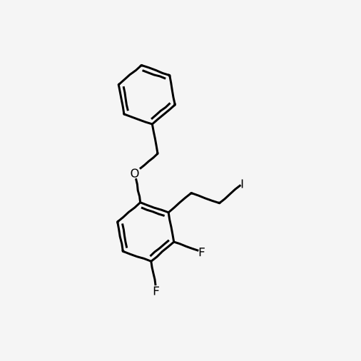 Fc1ccc(OCc2ccccc2)c(CCI)c1F